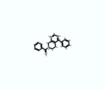 O=C(c1ccccc1)N1CCc2c(ncnc2-c2ccccc2)C1